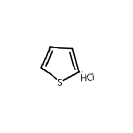 Cl.[c]1cccs1